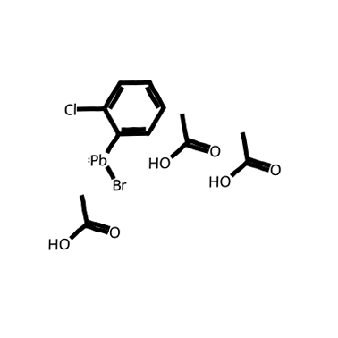 CC(=O)O.CC(=O)O.CC(=O)O.Clc1cccc[c]1[Pb][Br]